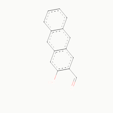 O=Cc1cc2cc3ccccc3cc2cc1O